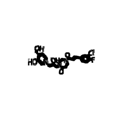 O=C(C=Cc1ccc(F)c(Cl)c1)N1CCC(=O)N(C[C@@H](O)CN2CC[C@H](CO)[C@H](O)C2)CC1